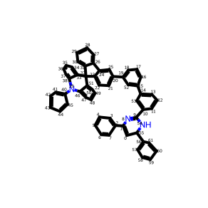 C1=C(c2ccccc2)N=C(c2cccc(-c3cccc(-c4ccc5c(c4)-c4ccccc4C54c5ccccc5N(c5ccccc5)c5ccccc54)c3)c2)NC1c1ccccc1